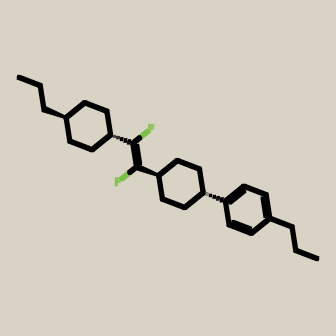 CCCc1ccc([C@H]2CC[C@H](C(F)=C(F)[C@H]3CC[C@H](CCC)CC3)CC2)cc1